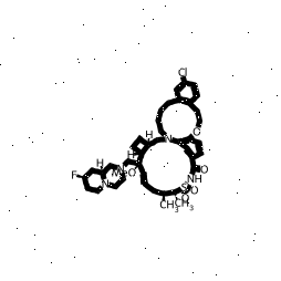 CO[C@@]1(CN2CCN3CC[C@@H](F)C[C@H]3C2)/C=C/C[C@H](C)[C@@H](C)S(=O)(=O)NC(=O)c2ccc3c(c2)N(CCCCc2cc(Cl)ccc2CCO3)C[C@@H]2CC[C@H]21